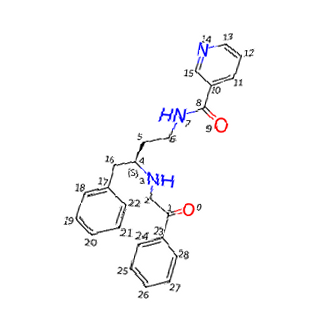 O=C(CN[C@H](CCNC(=O)c1cccnc1)Cc1ccccc1)c1ccccc1